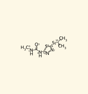 CNC(=O)Nc1nnc(SC(C)C)s1